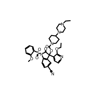 CCOc1ncccc1C1(OC(=O)N2CCC(N3CCN(CC)CC3)CC2)C(=O)N(S(=O)(=O)c2ccccc2OC)c2ccc(C#N)cc21